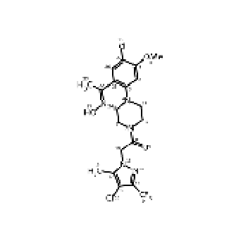 COc1cc(N2CCN(C(=O)Cn3nc(C(F)(F)F)c(Cl)c3C)CC2)c(C(C)=NO)cc1Cl